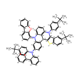 CC(C)(C)c1ccc(N(c2ccc3c(c2)N(c2cccc4c2oc2ccccc24)c2cccc4c2B3c2sc3ccc(C(C)(C)C)cc3c2N4c2ccc(C(C)(C)C)cc2)c2ccccc2-c2ccccc2)cc1